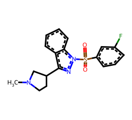 CN1CCC(c2nn(S(=O)(=O)c3cccc(F)c3)c3ccccc23)C1